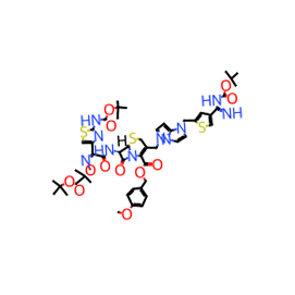 COc1ccc(COC(=O)C2=C(C[n+]3ccc4n(Cc5cc(C(=N)NC(=O)OC(C)(C)C)cs5)ccn43)CS[C@@H]3[C@H](NC(=O)/C(=N\OC(C)(C)C(=O)OC(C)(C)C)c4csc(NC(=O)OC(C)(C)C)n4)C(=O)N23)cc1